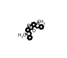 CN1c2ccccc2Cc2c1ccc(Cl)c2C(=O)c1c(Cl)ccc2c1Cc1ccccc1N2C